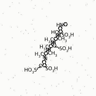 Cc1cc(N=Nc2cc(OCCCS(=O)(=O)O)c(N=Nc3cc(C)c(N=Nc4c(S(=O)(=O)O)cc5cc(Nc6ccccc6)ccc5c4O)cc3C)cc2C)c(C)cc1N=Nc1ccc2c(OCCCS(=O)(=O)O)cc(S(=O)(=O)O)cc2c1